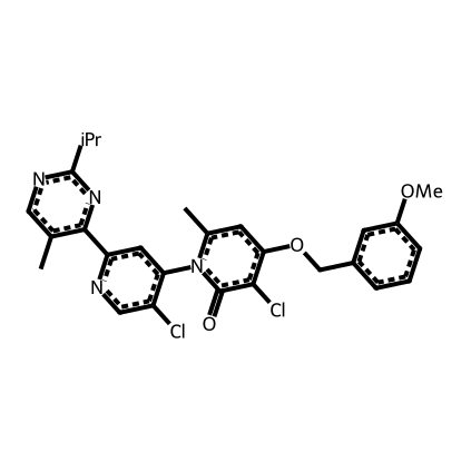 COc1cccc(COc2cc(C)n(-c3cc(-c4nc(C(C)C)ncc4C)ncc3Cl)c(=O)c2Cl)c1